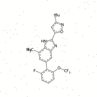 CC(C)(C)c1cc(-c2nc3cc(-c4c(F)cccc4OC(F)(F)F)cc(C(F)(F)F)c3[nH]2)on1.[Na]